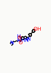 CCN(CC)CCCCNC(=O)c1cc2c(cc1OC)Cc1c(-c3ccc(-c4ccc(O)cc4)cc3)n[nH]c1-2